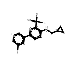 Fc1cncc(-c2ccc(NCC3CC3)c(C(F)(F)F)n2)c1